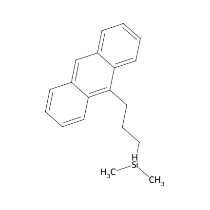 C[SiH](C)CCCc1c2ccccc2cc2ccccc12